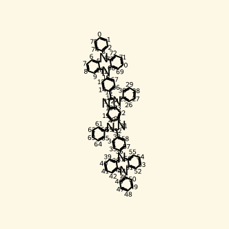 c1ccc(N2c3ccccc3N(c3ccc(-c4nc5cc6c(cc5n4-c4ccccc4)nc(-c4ccc(N5c7ccccc7N(c7ccccc7)c7ccccc75)cc4)n6-c4ccccc4)cc3)c3ccccc32)cc1